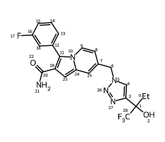 CCC(O)(c1cn(Cc2ccn3c(-c4cccc(F)c4)c(C(N)=O)cc3c2)nn1)C(F)(F)F